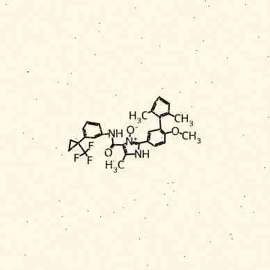 COc1ccc(-c2[nH]c(C)c(C(=O)Nc3cccc(C4(C(F)(F)F)CC4)c3)[n+]2[O-])cc1-c1c(C)cccc1C